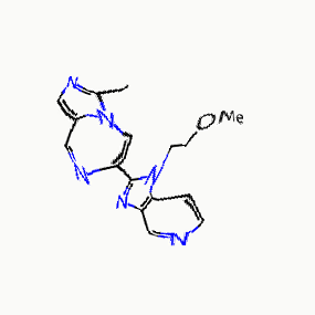 COCCn1c(-c2cn3c(C)ncc3cn2)nc2cnccc21